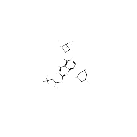 C[C@@H](CC(F)(F)F)Nc1ncc2c(O[C@H]3C[C@@](C)(O)C3)ncc([C@H]3CC[C@H](O)CC3)c2n1